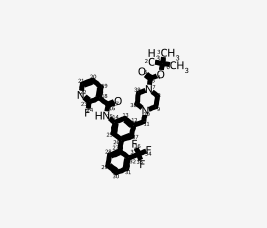 CC(C)(C)OC(=O)N1CCN(Cc2cc(NC(=O)c3cccnc3F)cc(-c3ccccc3C(F)(F)F)c2)CC1